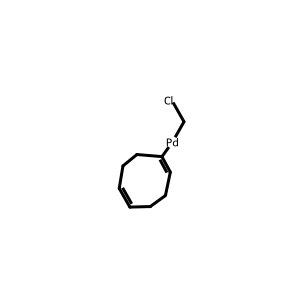 Cl[CH2][Pd][C]1=CCCC=CCC1